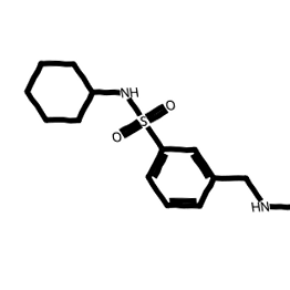 O=S(=O)(NC1CCCCC1)c1cccc(CNCl)c1